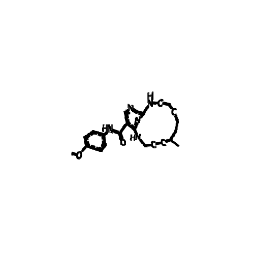 COc1ccc(NC(=O)c2cnc3nc2NCCCC(C)CCCCCN3)cc1